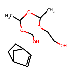 C1=CC2CCC1C2.CC(OCO)OC(C)OCCO